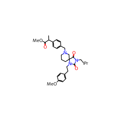 COC(=O)C(C)c1ccc(CN2CCCC3(C2)C(=O)N(CC(C)C)C(=O)N3CCc2ccc(OC)cc2)cc1